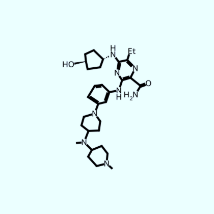 CCc1nc(C(N)=O)c(Nc2cccc(N3CCC(N(C)C4CCN(C)CC4)CC3)c2)nc1N[C@H]1CC[C@H](O)CC1